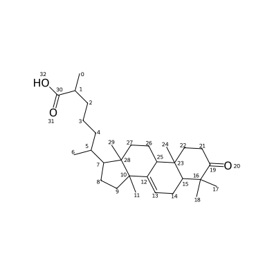 CC(CCCC(C)C1CCC2(C)C3=CCC4C(C)(C)C(=O)CCC4(C)C3CCC12C)C(=O)O